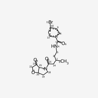 CC(CCNC(=O)c1ccc(Br)cc1)CC(=O)N1CCC2OCC(=O)C21